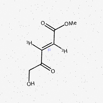 [2H]/C(C(=O)CO)=C(/[2H])C(=O)OC